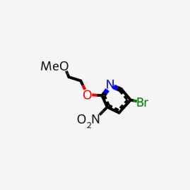 COCCOc1ncc(Br)cc1[N+](=O)[O-]